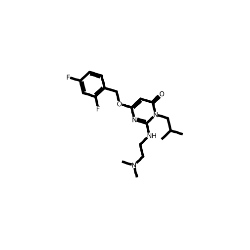 CC(C)Cn1c(NCCN(C)C)nc(OCc2ccc(F)cc2F)cc1=O